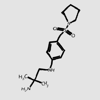 CC(C)(N)CNc1ccc(S(=O)(=O)N2CCCC2)cc1